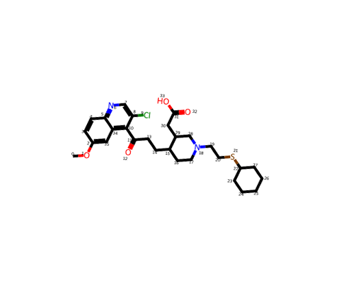 COc1ccc2ncc(Cl)c(C(=O)CCC3CCN(CCSC4CCCCC4)CC3CC(=O)O)c2c1